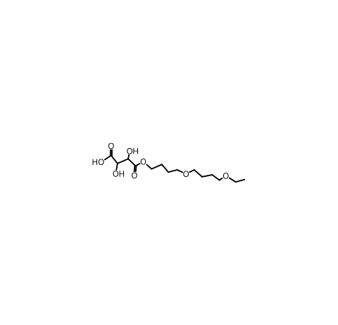 CCOCCCCOCCCCOC(=O)C(O)C(O)C(=O)O